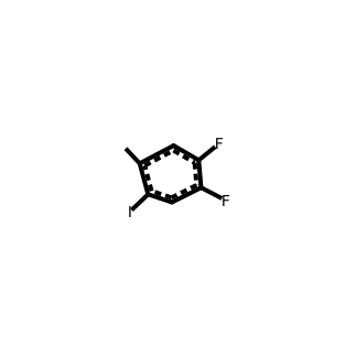 Cc1cc(F)c(F)cc1I